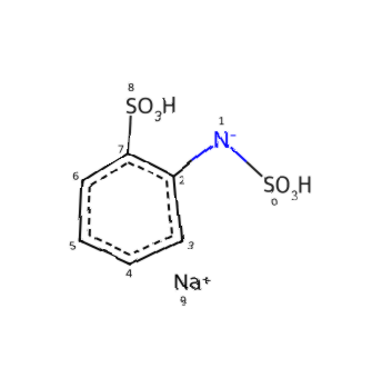 O=S(=O)(O)[N-]c1ccccc1S(=O)(=O)O.[Na+]